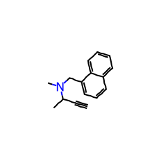 C#CC(C)N(C)Cc1cccc2ccccc12